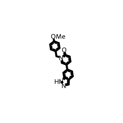 COc1ccc(Cn2cc(-c3ccc4cn[nH]c4c3)ccc2=O)cc1